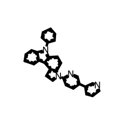 c1ccc(-n2c3ccccc3c3c4ccn(-c5ccc(-c6cccnc6)cn5)c4ccc32)cc1